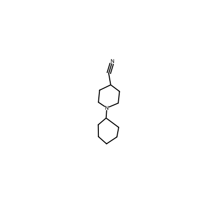 N#CC1CCN(C2CCCCC2)CC1